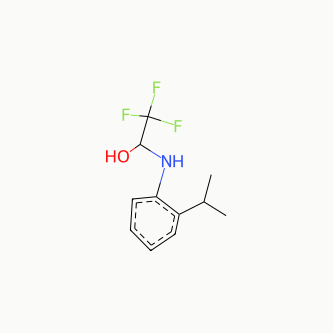 CC(C)c1ccccc1NC(O)C(F)(F)F